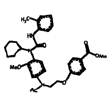 COC(=O)c1ccc(OCCN(C(C)=O)c2ccc(N(C(=O)Nc3ccccc3C)C3CCCCC3)c(OC)c2)cc1